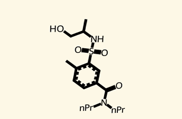 CCCN(CCC)C(=O)c1ccc(C)c(S(=O)(=O)NC(C)CO)c1